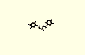 Cc1cc(C)c(N=CN(C)C=Nc2cc(C)c(C)cc2C)cc1C